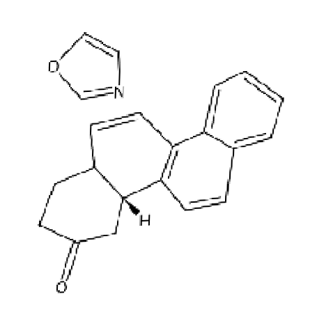 O=C1CCC2C=Cc3c(ccc4ccccc34)[C@@H]2C1.c1cocn1